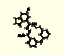 CNC(=O)c1cc(Oc2cccc(CCNC(=O)c3cc(Br)cc4c3OCC4)c2)ccn1